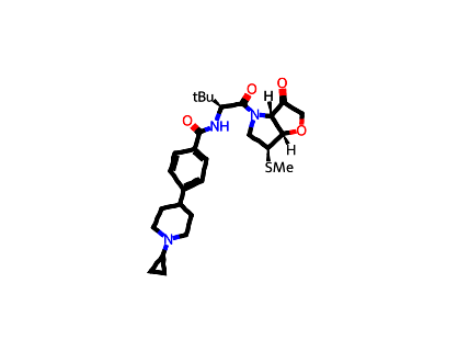 CS[C@H]1CN(C(=O)[C@@H](NC(=O)c2ccc(C3CCN(C4CC4)CC3)cc2)C(C)(C)C)[C@@H]2C(=O)CO[C@H]12